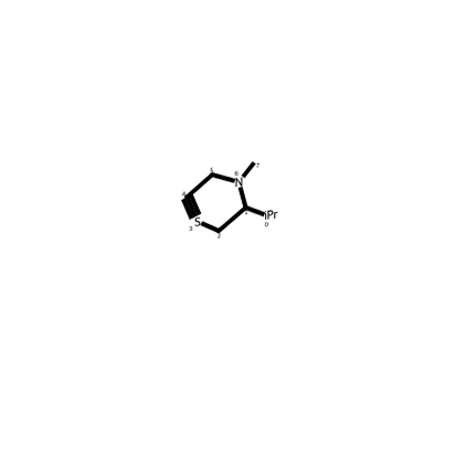 CC(C)C1CS#CCN1C